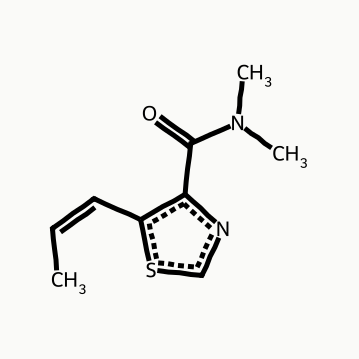 C/C=C\c1scnc1C(=O)N(C)C